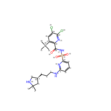 CC1(C)C[C@H](CCCNc2cccc(S(=O)(=O)NC(=O)c3nc(Cl)c(Cl)cc3[Si](C)(C)C)n2)CN1